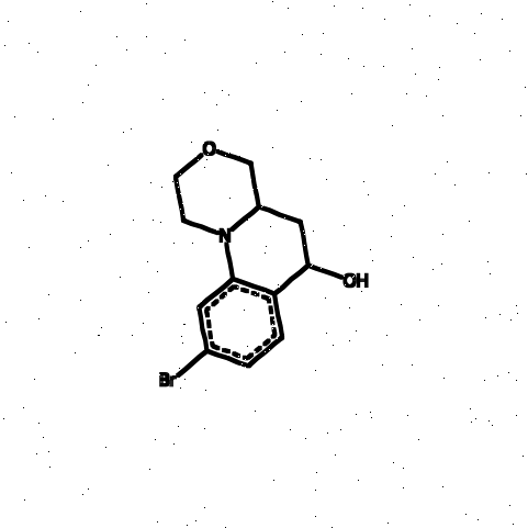 OC1CC2COCCN2c2cc(Br)ccc21